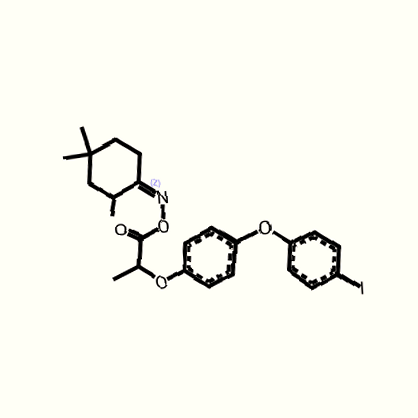 CC(Oc1ccc(Oc2ccc(I)cc2)cc1)C(=O)O/N=C1/CCC(C)(C)CC1C